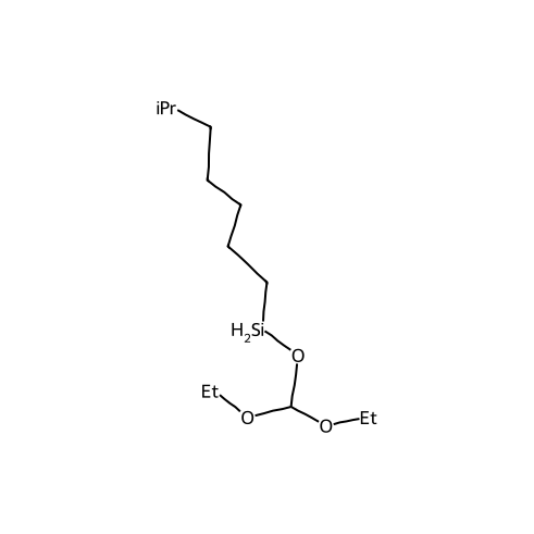 CCOC(OCC)O[SiH2]CCCCCC(C)C